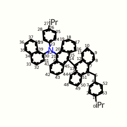 CC(C)c1ccc(Cc2c3ccccc3c(-c3c4ccccc4c(N(c4ccc(C(C)C)cc4)c4cccc5ccccc45)c4ccccc34)c3ccccc23)cc1